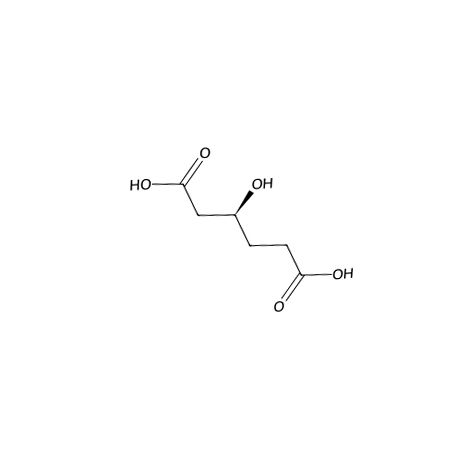 O=C(O)CC[C@H](O)CC(=O)O